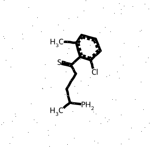 Cc1cccc(Cl)c1C(=S)CCC(C)P